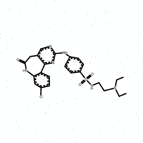 CCN(CC)CCNS(=O)(=O)c1ccc(Nc2ncc3c(n2)-c2ccc(Cl)cc2NC(=O)C3)cc1